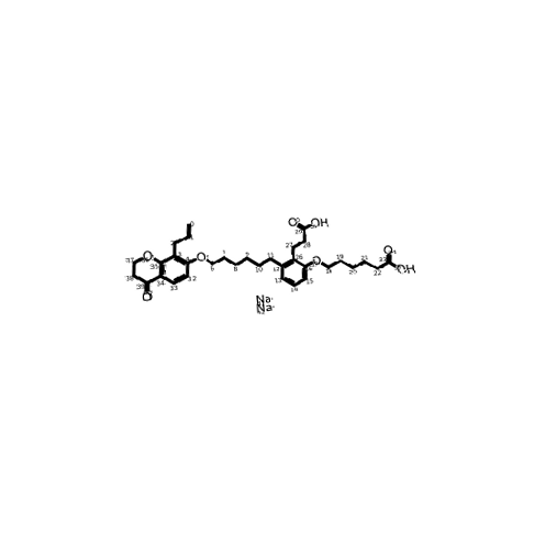 CCCc1c(OCCCCCCc2cccc(OCCCCCC(=O)O)c2CCC(=O)O)ccc2c1OCCC2=O.[Na].[Na]